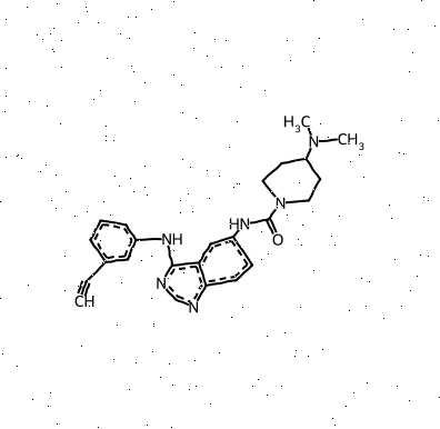 C#Cc1cccc(Nc2ncnc3ccc(NC(=O)N4CCC(N(C)C)CC4)cc23)c1